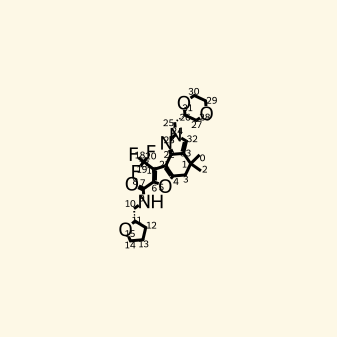 CC1(C)Cc2oc(C(=O)NC[C@@H]3CCCO3)c(C(F)(F)F)c2-c2nn(C[C@H]3COCCO3)cc21